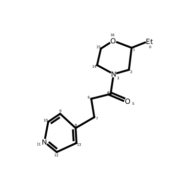 CCC1CN(C(=O)CCc2ccncc2)CCO1